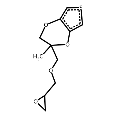 CC1(COCC2CO2)COc2cscc2O1